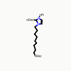 CCCCCCCCCCCCCCCCCCCN1C=CN(CCC)C1CCCCCCCCCC